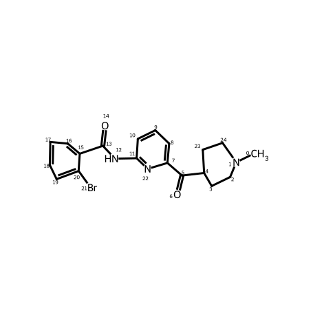 CN1CCC(C(=O)c2cccc(NC(=O)c3ccccc3Br)n2)CC1